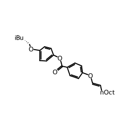 CCCCCCCC/C=C/Oc1ccc(C(=O)Oc2ccc(OC[C@@H](C)CC)cc2)cc1